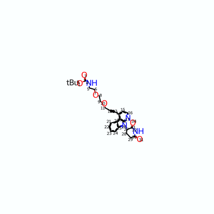 CC(C)(C)OC(=O)NCCOCCOCC#Cc1ccnc2c1c1ccccc1n2C1CCC(=O)NC1=O